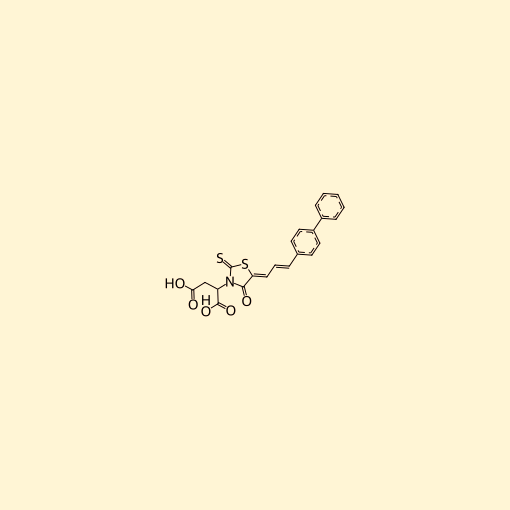 O=C(O)CC(C(=O)O)N1C(=O)C(=CC=Cc2ccc(-c3ccccc3)cc2)SC1=S